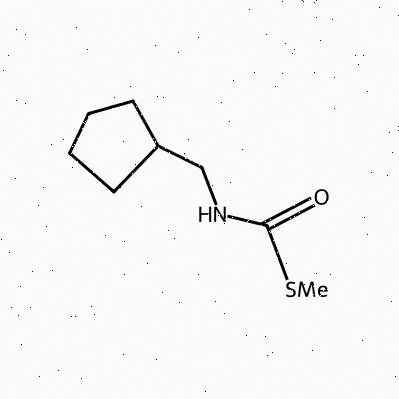 CSC(=O)NCC1CCCC1